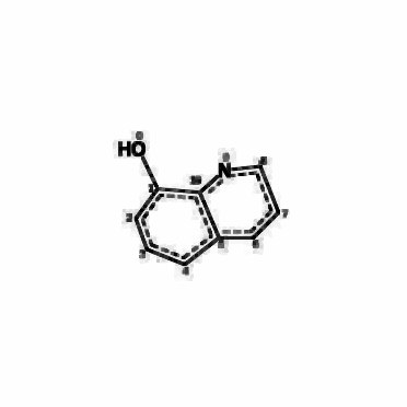 Oc1cccc2cc[c]nc12